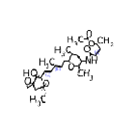 CC[C@@H]1CC2(CO2)[C@H](O)C(/C=C/C(C)=C/CC2OC(C)C(NC(=O)/C=C\C(C)OC(C)=O)CC2C)O1